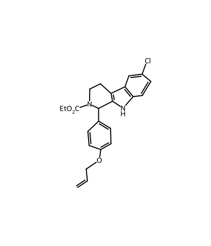 C=CCOc1ccc(C2c3[nH]c4ccc(Cl)cc4c3CCN2C(=O)OCC)cc1